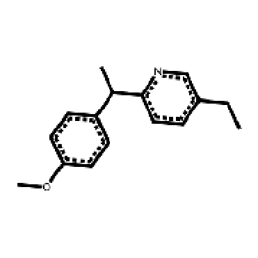 CCc1ccc(C(C)c2ccc(OC)cc2)nc1